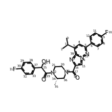 CC(C)c1cc(-c2ccc(F)cc2)nn2cc(C(=O)N3CCN(C(=O)C(O)c4ccc(F)cc4)[C@@H](C)C3)nc12